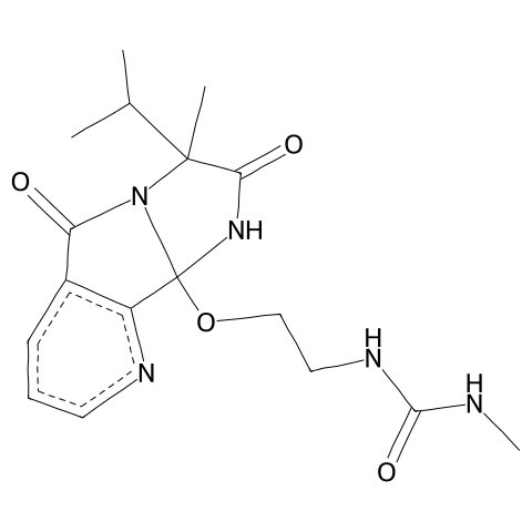 CNC(=O)NCCOC12NC(=O)C(C)(C(C)C)N1C(=O)c1cccnc12